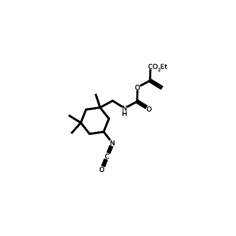 C=C(OC(=O)NCC1(C)CC(N=C=O)CC(C)(C)C1)C(=O)OCC